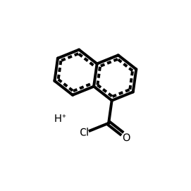 O=C(Cl)c1cccc2ccccc12.[H+]